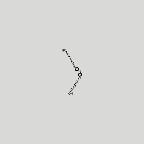 OCCOCCOCCOCCOc1ccc(Oc2ccc(OCCOCCOCCOCCO)cc2)cc1